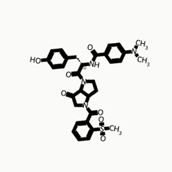 CN(C)c1ccc(C(=O)N[C@@H](Cc2ccc(O)cc2)C(=O)N2CCC3C2C(=O)CN3C(=O)c2ccccc2S(C)(=O)=O)cc1